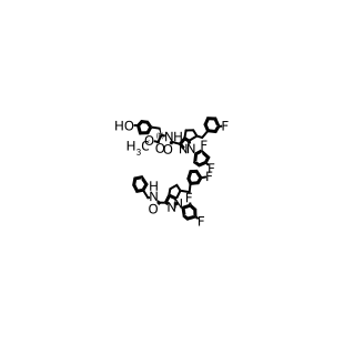 COC(=O)[C@@H](Cc1ccc(O)cc1)NC(=O)c1nn(-c2ccc(F)cc2F)c2c1CCC2Cc1cccc(F)c1.O=C(NCc1ccccc1)c1nn(-c2ccc(F)cc2F)c2c1CCC2Cc1cccc(F)c1